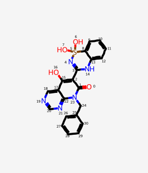 O=c1c(C2=NS(O)(O)c3ccccc3N2)c(O)c2cncnc2n1Cc1ccccc1